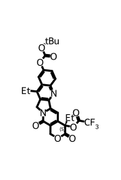 CCc1c2c(nc3ccc(OC(=O)OC(C)(C)C)cc13)-c1cc3c(c(=O)n1C2)COC(=O)[C@@]3(CC)OC(=O)C(F)(F)F